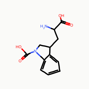 NC(CC1CN(C(=O)O)c2ccccc21)C(=O)O